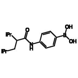 CC(C)CC(C(=O)Nc1ccc(B(O)O)cc1)C(C)C